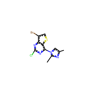 Cc1cn(-c2nc(Cl)nc3c(Br)csc23)c(C)n1